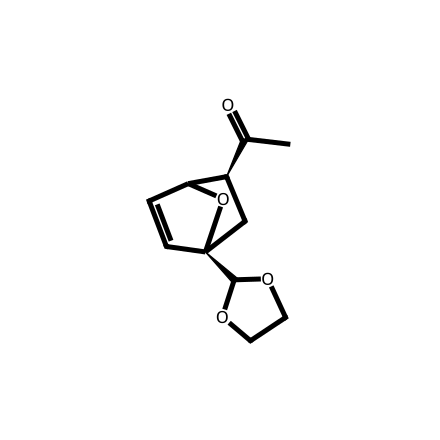 CC(=O)[C@H]1C[C@]2(C3OCCO3)C=CC1O2